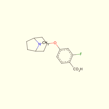 CN1C2CCC1CC(Oc1ccc(C(=O)O)c(F)c1)C2